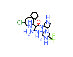 NC(N)C(C(=O)NC1CNCCC1N1CCNC(C(F)(F)F)C1)C1CC2(CCCCC2)CCC(Cl)CN1